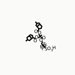 CC1CC2CCC(C(=O)OCC(C)(COC(=O)C3CCC4CC(C)CC3C4)C(=O)OCCC(F)(F)C(F)(F)S(=O)(=O)O)C(C1)C2